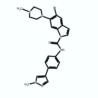 CN1CCN(c2cc3c(ccn3C(=O)Nc3ccc(-c4cnn(C)c4)cc3)cc2Br)CC1